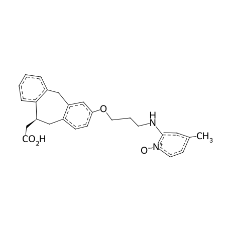 Cc1cc[n+]([O-])c(NCCCOc2ccc3c(c2)Cc2ccccc2[C@H](CC(=O)O)C3)c1